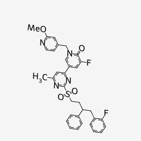 COc1cc(Cn2cc(-c3cc(C)nc(S(=O)(=O)CCC(Cc4ccccc4F)c4ccccc4)n3)cc(F)c2=O)ccn1